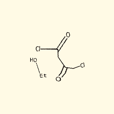 CCO.O=C(Cl)C(=O)Cl